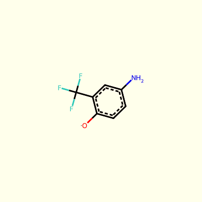 Nc1ccc([O])c(C(F)(F)F)c1